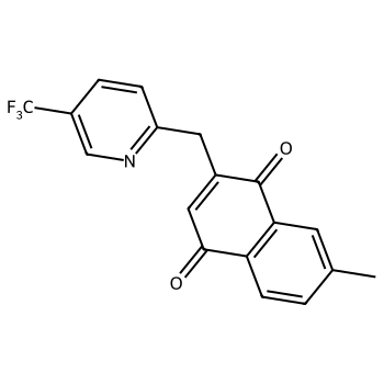 Cc1ccc2c(c1)C(=O)C(Cc1ccc(C(F)(F)F)cn1)=CC2=O